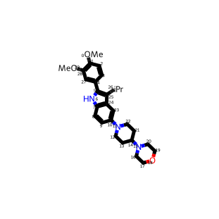 COc1ccc(-c2[nH]c3ccc(N4CCC(N5CCOCC5)CC4)cc3c2C(C)C)cc1OC